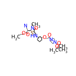 C=CCOC(=O)C(C#N)=c1sc(=CNc2cccc(OCC(=O)N3CCN(C(=O)OC(C)(C)C)CC3)c2)c(=O)n1CC